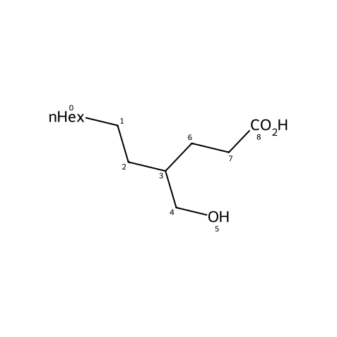 CCCCCCCCC(CO)CCC(=O)O